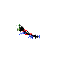 N#C[C@H]1C[C@@H](c2nnc(C34CC(NC(=O)COc5ccc(Cl)c(F)c5)(C3)C4)o2)C1